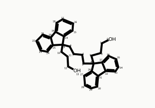 OCCCC1(CCCCC2(CCCO)c3ccccc3-c3ccccc32)c2ccccc2-c2ccccc21